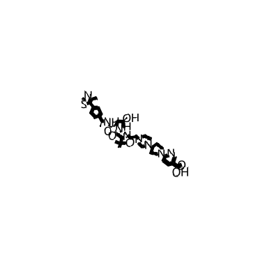 Cc1ncsc1-c1ccc([C@H](C)NC(=O)[C@@H]2C[C@@H](O)CN2C(=O)[C@@H](NC(=O)CN2CCN(C3CCN(c4ccc(C(=O)O)cn4)CC3)CC2)C(C)(C)C)cc1